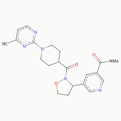 CNC(=O)c1cncc(C2CCON2C(=O)C2CCN(c3nccc(C#N)n3)CC2)c1